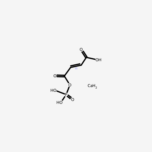 O=C(O)/C=C/C(=O)OP(=O)(O)O.[CaH2]